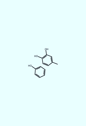 Cc1ccc(O)c(O)c1.Oc1ccccc1